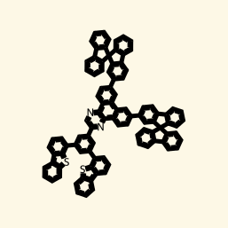 c1ccc2c(c1)-c1ccccc1C21c2ccccc2-c2ccc(-c3ccc4c(c3)c3cc(-c5ccc6c(c5)C5(c7ccccc7-c7ccccc75)c5ccccc5-6)ccc3c3nc(-c5cc(-c6cccc7c6sc6ccccc67)cc(-c6cccc7c6sc6ccccc67)c5)cnc43)cc21